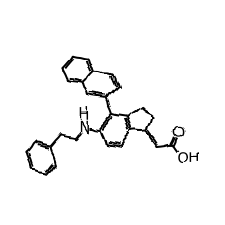 O=C(O)C=C1CCc2c1ccc(NCCc1ccccc1)c2-c1ccc2ccccc2c1